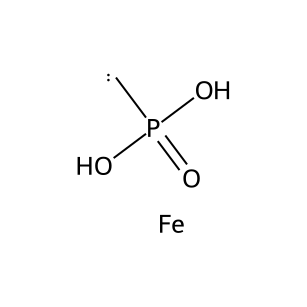 [CH]P(=O)(O)O.[Fe]